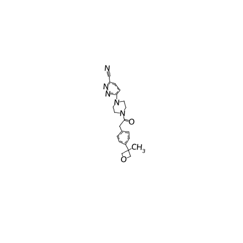 CC1(c2ccc(CC(=O)N3CCN(c4ccc(C#N)nn4)CC3)cc2)COC1